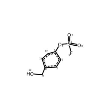 O=S(=O)(F)Oc1ccc(CO)cc1